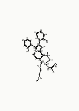 COCCO[C@H]1c2ccn3c(-c4ccccc4C)c(-c4ccccc4C)nc3c2NC[C@H]1OC(C)=O